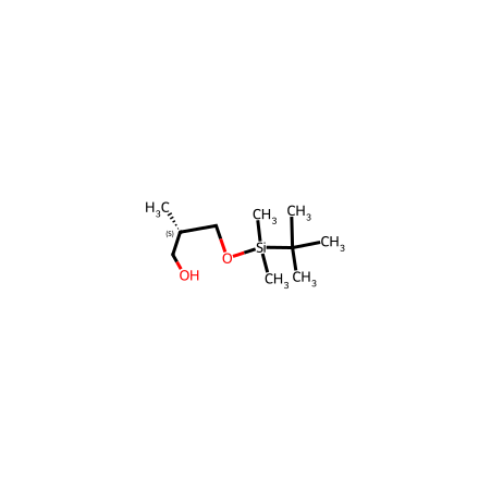 C[C@@H](CO)CO[Si](C)(C)C(C)(C)C